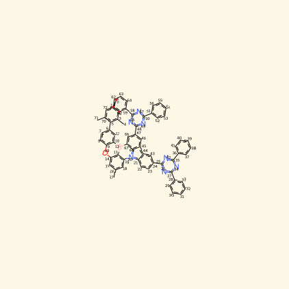 Cc1cc(C)c(-c2ccc3c(c2)B2c4c(cc(C)cc4-n4c5ccc(-c6nc(-c7ccccc7)nc(-c7ccccc7)n6)cc5c5cc(-c6nc(-c7ccccc7)nc(-c7ccccc7)n6)cc2c54)O3)c(C)c1